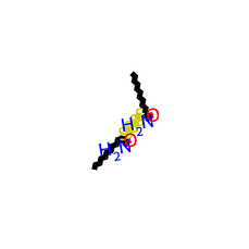 CCCCCCCCCCC(SSSSSSSC(CCCCCCCCCC)C(N)=O)C(N)=O